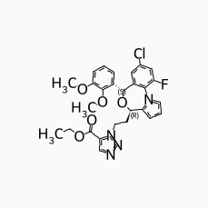 CCOC(=O)c1cnnn1CC[C@H]1O[C@H](c2cccc(OC)c2OC)c2cc(Cl)cc(F)c2-n2cccc21